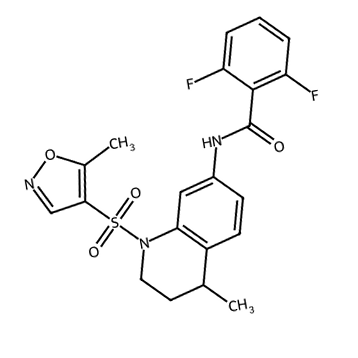 Cc1oncc1S(=O)(=O)N1CCC(C)c2ccc(NC(=O)c3c(F)cccc3F)cc21